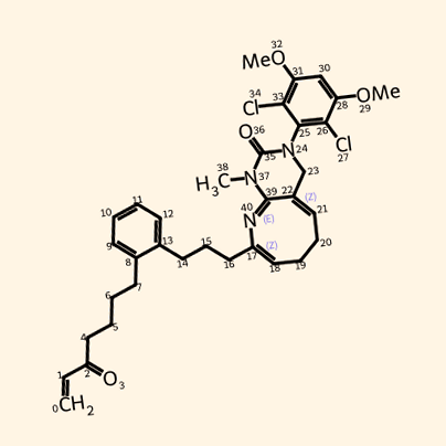 C=CC(=O)CCCCc1ccccc1CCCC1=C\CC/C=C2/CN(c3c(Cl)c(OC)cc(OC)c3Cl)C(=O)N(C)/C2=N/1